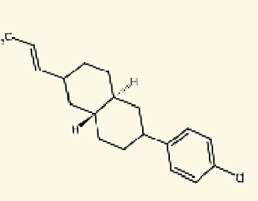 CC=CC1CC[C@H]2CC(c3ccc(Cl)cc3)CC[C@@H]2C1